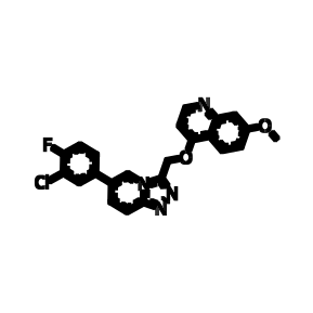 COc1ccc2c(OCc3nnc4ccc(-c5ccc(F)c(Cl)c5)cn34)ccnc2c1